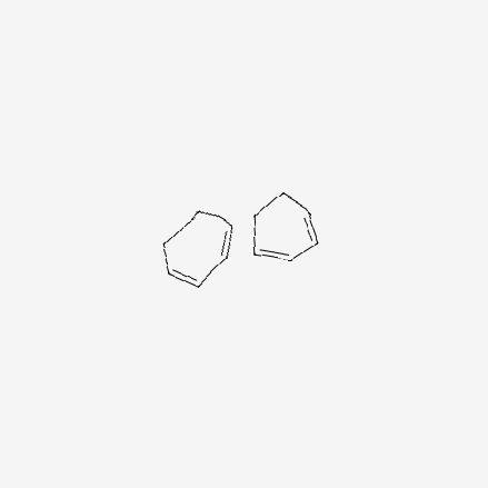 C1=CCCC=C1.C1=CCCC=C1